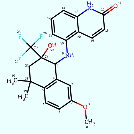 COc1ccc2c(c1)C(Nc1cccc3[nH]c(=O)ccc13)C(O)(C(F)(F)F)CC2(C)C